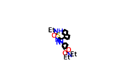 CCNC(=O)Sc1nnn(-c2ccc(OC(=O)N(CC)CC)cc2)c1-c1cccc2ccccc12